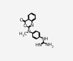 CN(c1ccc(NC(=N)N)cc1)c1nc2ccccc2c(=O)o1